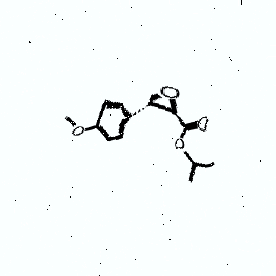 COc1ccc([C@@H]2O[C@H]2C(=O)OC(C)C)cc1